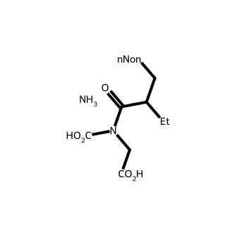 CCCCCCCCCCC(CC)C(=O)N(CC(=O)O)C(=O)O.N